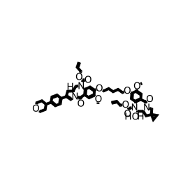 C=CCOC(=O)N1C[C@@H]2CC(c3ccc(C4CCOCC4)cc3)=CN2C(=O)c2cc(OC)c(OCCCCCOc3cc4c(cc3OC)C(=O)N3CC5(CC5)C[C@H]3C(O)N4C(=O)OCC=C)cc21